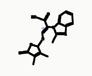 CC1=C(C)C(O/C=C(/C(=O)O)n2c(C)nc3ccccc32)OC1=O